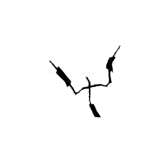 [C]#CC(C)(CC#CCC)CC#CCCC